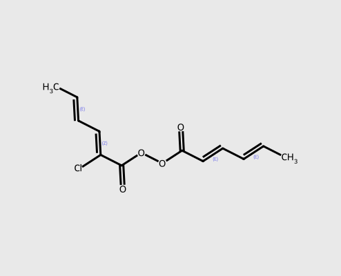 C/C=C/C=C(\Cl)C(=O)OOC(=O)/C=C/C=C/C